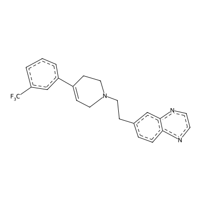 FC(F)(F)c1cccc(C2=CCN(CCc3ccc4nccnc4c3)CC2)c1